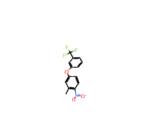 Cc1cc(Oc2cccc(C(F)(F)F)c2)ccc1[N+](=O)[O-]